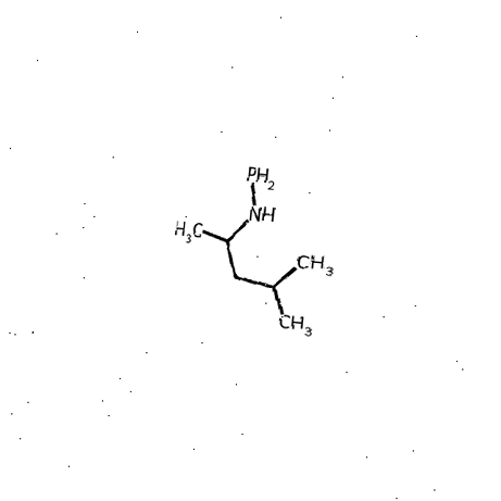 CC(C)CC(C)NP